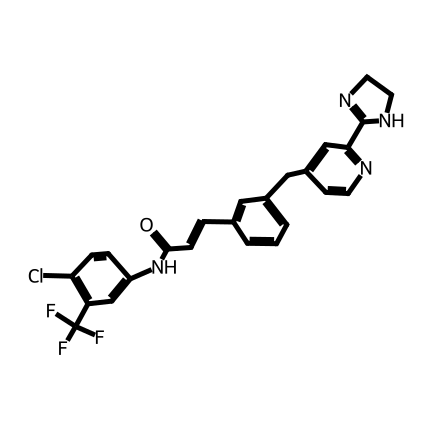 O=C(/C=C/c1cccc(Cc2ccnc(C3=NCCN3)c2)c1)Nc1ccc(Cl)c(C(F)(F)F)c1